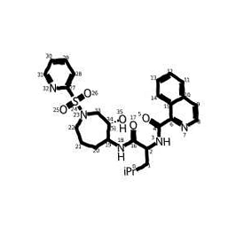 CC(C)CC(NC(=O)c1nccc2ccccc12)C(=O)NC1CCCN(S(=O)(=O)c2ccccn2)C[C@@H]1O